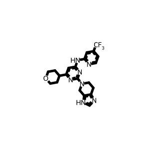 FC(F)(F)c1ccnc(Nc2cc(C3CCOCC3)nc(N3CCc4nc[nH]c4C3)n2)c1